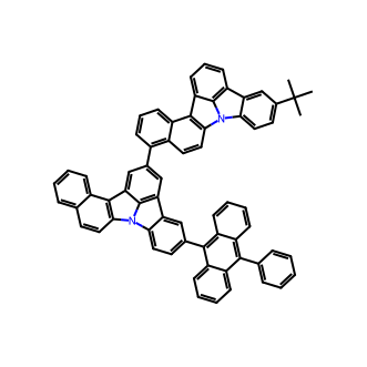 CC(C)(C)c1ccc2c(c1)c1cccc3c4c5cccc(-c6cc7c8cc(-c9c%10ccccc%10c(-c%10ccccc%10)c%10ccccc9%10)ccc8n8c9ccc%10ccccc%10c9c(c6)c78)c5ccc4n2c13